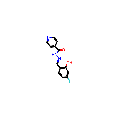 O=C(NN=Cc1ccc(F)cc1O)c1ccncc1